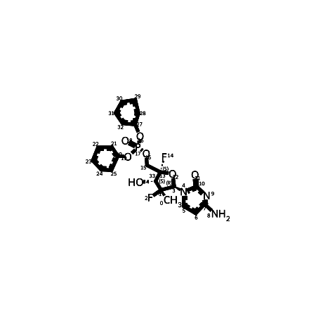 C[C@]1(F)[C@H](n2ccc(N)nc2=O)O[C@](F)(COP(=O)(Oc2ccccc2)Oc2ccccc2)[C@H]1O